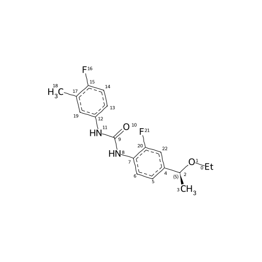 CCO[C@@H](C)c1ccc(NC(=O)Nc2ccc(F)c(C)c2)c(F)c1